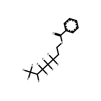 O=C(SCCC(F)(F)C(F)(F)C(F)(F)C(F)C(F)(F)F)c1ccccc1